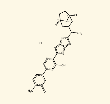 CN(c1nc2sc(-c3ncc(-c4ccn(C)c(=O)c4)cc3O)nc2s1)C1C[C@H]2CC[C@@H](C1)N2.Cl